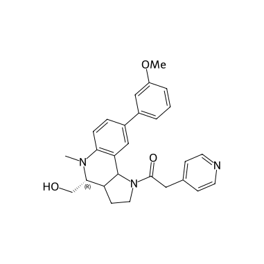 COc1cccc(-c2ccc3c(c2)C2C(CCN2C(=O)Cc2ccncc2)[C@H](CO)N3C)c1